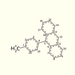 [CH2]c1ccc(-c2c3ccccc3cc3ccccc23)cc1